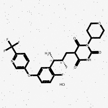 Cl.N[C@@H](c1cc(Oc2ccc(C(F)(F)F)nc2)ccc1F)[C@@H](F)CC1C(=O)NC(=O)N(C2CCOCC2)C1=O